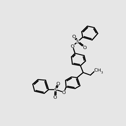 CCC(c1ccc(OS(=O)(=O)c2ccccc2)cc1)c1ccc(OS(=O)(=O)c2ccccc2)cc1